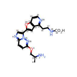 C[C@H](N)COc1ccc2ncc(-c3cc4c(CCNC(=O)O)nccc4o3)n2n1